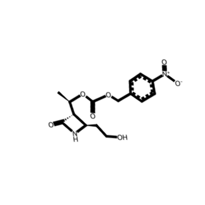 C[C@@H](OC(=O)OCc1ccc([N+](=O)[O-])cc1)[C@H]1C(=O)N[C@@H]1CCO